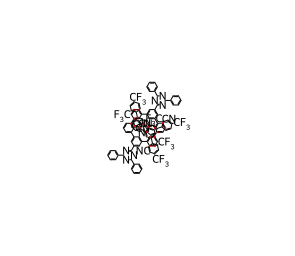 N#Cc1ccccc1-c1cc(-c2nc(-c3ccccc3)nc(-c3ccccc3)n2)cc(-c2cccc(-c3cccc(-c4cc(-c5nc(-c6ccccc6)nc(-c6ccccc6)n5)cc(-c5ccccc5C#N)c4-n4c5ccc(-c6ccc(C(F)(F)F)cc6C(F)(F)F)cc5c5cc(-c6ccc(C(F)(F)F)cc6C(F)(F)F)ccc54)c3C#N)c2C#N)c1-n1c2ccccc2c2cc(-c3ccc(C(F)(F)F)cc3C(F)(F)F)ccc21